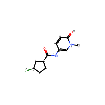 CCn1cc(NC(=O)[C@H]2CC[C@@H](Cl)C2)ccc1=O